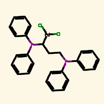 [Cl][Pd]([Cl])[CH](CCP(c1ccccc1)c1ccccc1)P(c1ccccc1)c1ccccc1